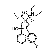 CCN(CC)S(=O)(=O)[N+]1(C(=O)NC)CC(O)(c2ccccc2)C(c2ccc(Cl)cc2)=N1